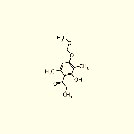 CCC(=O)c1c(C)cc(OCOC)c(C)c1O